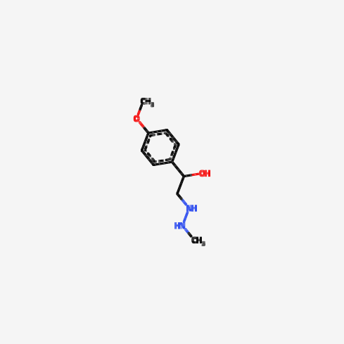 CNNCC(O)c1ccc(OC)cc1